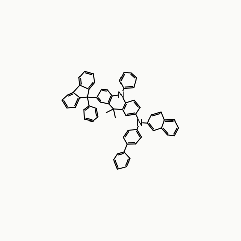 CC1(C)c2cc(N(c3ccc(-c4ccccc4)cc3)c3ccc4ccccc4c3)ccc2N(c2ccccc2)c2ccc(C3(c4ccccc4)c4ccccc4-c4ccccc43)cc21